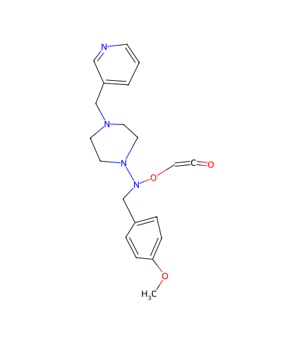 COc1ccc(CN(OC=C=O)N2CCN(Cc3cccnc3)CC2)cc1